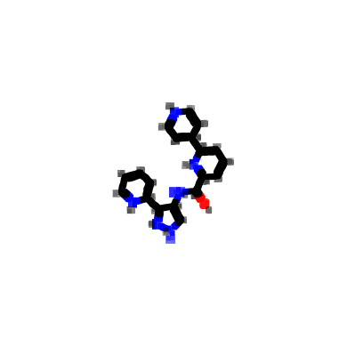 O=C(Nc1c[nH]nc1-c1ccccn1)c1cccc(-c2ccncc2)n1